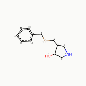 OC1CNCC1CSCc1ccccc1